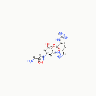 N=C(N)N[C@@H]1CC[C@@H](CN)O[C@@H]1OC1[C@H](O)C[C@H](NCC(O)CN)C[C@@H]1N